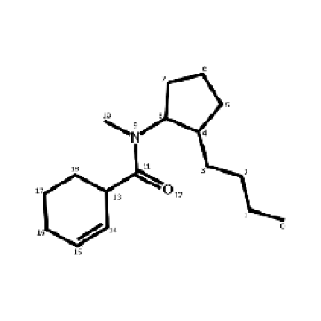 CCCCC1CCCC1N(C)C(=O)C1C=[C]CCC1